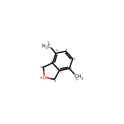 Cc1ccc(C)c2c1COC2